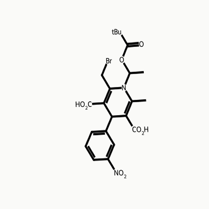 CC1=C(C(=O)O)C(c2cccc([N+](=O)[O-])c2)C(C(=O)O)=C(CBr)N1C(C)OC(=O)C(C)(C)C